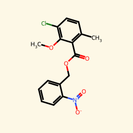 COc1c(Cl)ccc(C)c1C(=O)OCc1ccccc1[N+](=O)[O-]